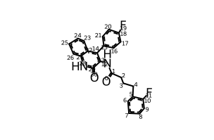 O=C(CCCc1ccccc1F)Nc1c(-c2ccc(F)cc2)c2ccccc2[nH]c1=O